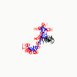 CC(C)(C)[Si](F)(c1ccc(C(=O)N[C@@H](CNC(=O)CN2CCN(CC(=O)O)CCN(CC(=O)O)CCN(CC(=O)O)CC2)C(=O)N[C@@H](CCCCNC(=O)CCC(=O)NCCC[C@@H](NC(=O)CC[C@H](NC(=O)N[C@@H](CCC(=O)O)C(=O)O)C(=O)O)C(=O)O)C(=O)O)cc1)C(C)(C)C